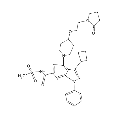 CS(=O)(=O)NC(=O)c1cc(N2CCC(OCCN3CCCC3=O)CC2)c2c(C3CCC3)nn(-c3ccccc3)c2n1